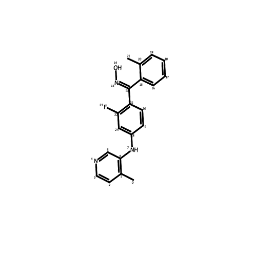 Cc1ccncc1Nc1ccc(C(=NO)c2ccccc2C)c(F)c1